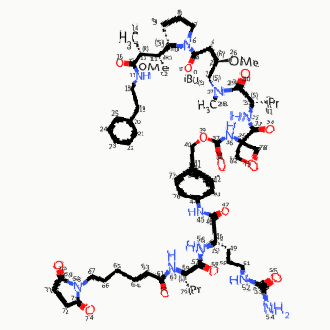 CC[C@H](C)[C@@H]([C@@H](CC(=O)N1CCC[C@H]1[C@H](OC)[C@@H](C)C(=O)NCCc1ccccc1)OC)N(C)C(=O)[C@@H](NC(=O)C1(NC(=O)OCc2ccc(NC(=O)[C@H](CCCNC(N)=O)NC(=O)[C@@H](NC(=O)CCCCCN3C(=O)C=CC3=O)C(C)C)cc2)COC1)C(C)C